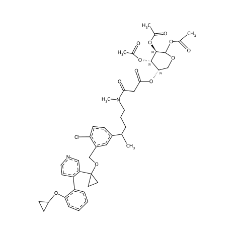 CC(=O)OC1OC[C@H](OC(=O)CC(=O)N(C)CCCC(C)c2ccc(Cl)c(COC3(c4cnccc4-c4ccccc4OC4CC4)CC3)c2)[C@H](OC(C)=O)[C@H]1OC(C)=O